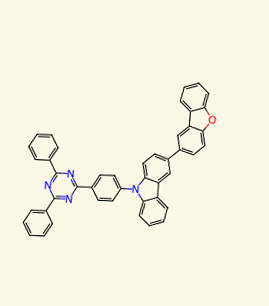 c1ccc(-c2nc(-c3ccccc3)nc(-c3ccc(-n4c5ccccc5c5cc(-c6ccc7oc8ccccc8c7c6)ccc54)cc3)n2)cc1